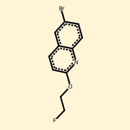 FCCOc1ccc2cc(Br)ccc2n1